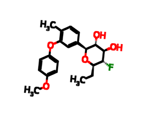 CC[C@H]1O[C@@H](c2ccc(C)c(Oc3ccc(OC)cc3)c2)[C@H](O)[C@@H](O)[C@@H]1F